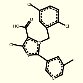 Cc1cncc(-c2nc(Cl)c(C(=O)O)n2Cc2cc(Cl)ccc2Cl)c1